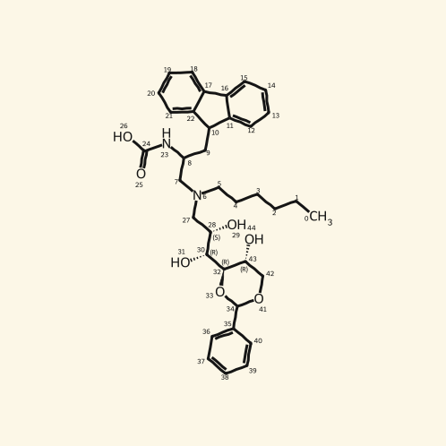 CCCCCCN(CC(CC1c2ccccc2-c2ccccc21)NC(=O)O)C[C@H](O)[C@@H](O)[C@@H]1OC(c2ccccc2)OC[C@H]1O